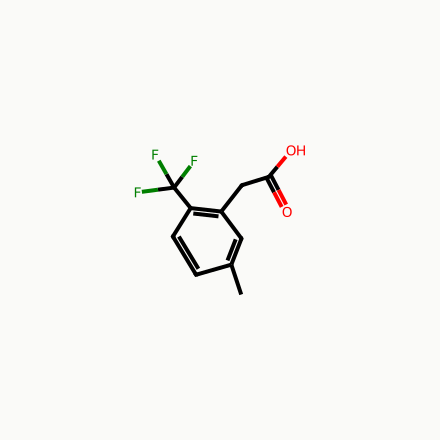 Cc1ccc(C(F)(F)F)c(CC(=O)O)c1